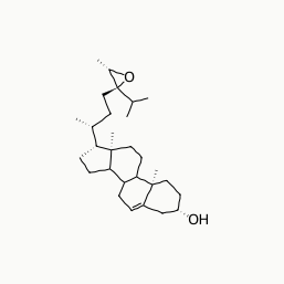 CC(C)[C@@]1(CC[C@@H](C)[C@H]2CCC3C4CC=C5C[C@@H](O)CC[C@]5(C)C4CC[C@@]32C)O[C@H]1C